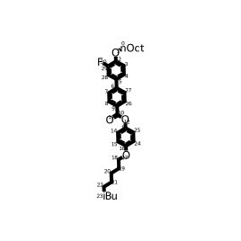 CCCCCCCCOc1ccc(-c2ccc(C(=O)Oc3ccc(OCCCCCC(C)CC)cc3)cc2)cc1F